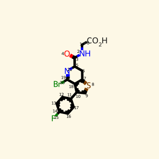 O=C(O)CNC(=O)C1Cc2scc(-c3ccc(F)cc3)c2C(Br)=N1